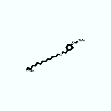 CCCCCC=CCC=CCCCCCCCCOCCc1ccc(OCOC)cc1